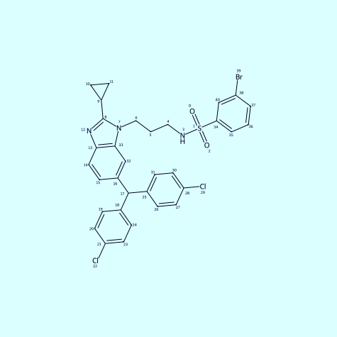 O=S(=O)(NCCCn1c(C2CC2)nc2ccc(C(c3ccc(Cl)cc3)c3ccc(Cl)cc3)cc21)c1cccc(Br)c1